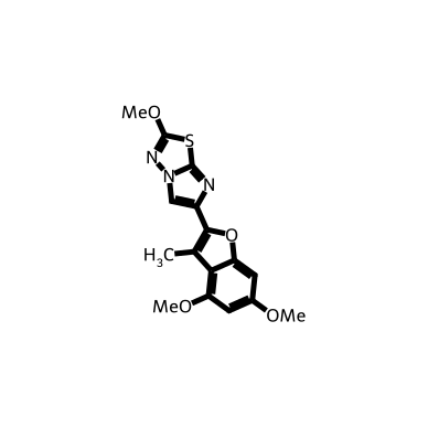 COc1cc(OC)c2c(C)c(-c3cn4nc(OC)sc4n3)oc2c1